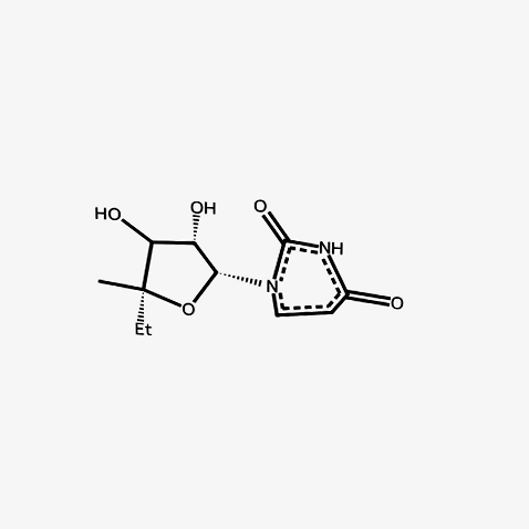 CC[C@@]1(C)O[C@@H](n2ccc(=O)[nH]c2=O)[C@@H](O)C1O